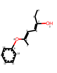 CC/C(O)=C\C=C(/C)Oc1ccccc1